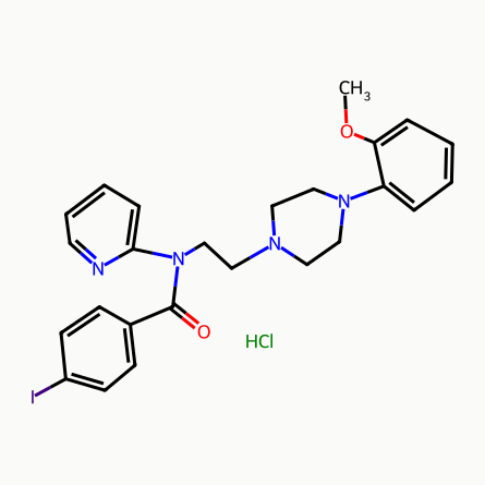 COc1ccccc1N1CCN(CCN(C(=O)c2ccc(I)cc2)c2ccccn2)CC1.Cl